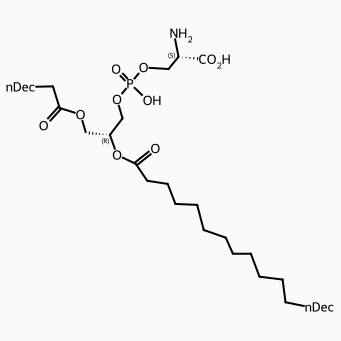 CCCCCCCCCCCCCCCCCCCCCC(=O)O[C@H](COC(=O)CCCCCCCCCCC)COP(=O)(O)OC[C@H](N)C(=O)O